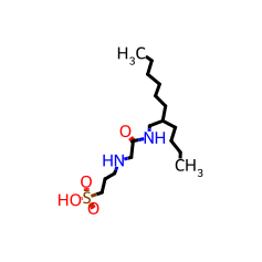 CCCCCCC(CCCC)CNC(=O)CNCCCS(=O)(=O)O